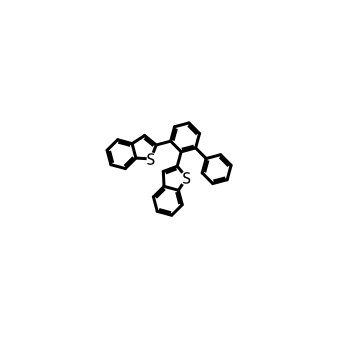 c1ccc(-c2cccc(-c3cc4ccccc4s3)c2-c2cc3ccccc3s2)cc1